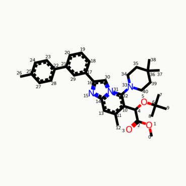 COC(=O)C(OC(C)(C)C)c1c(C)cc2nc(-c3cccc(-c4ccc(C)cc4)c3)cn2c1N1CCC(C)(C)CC1